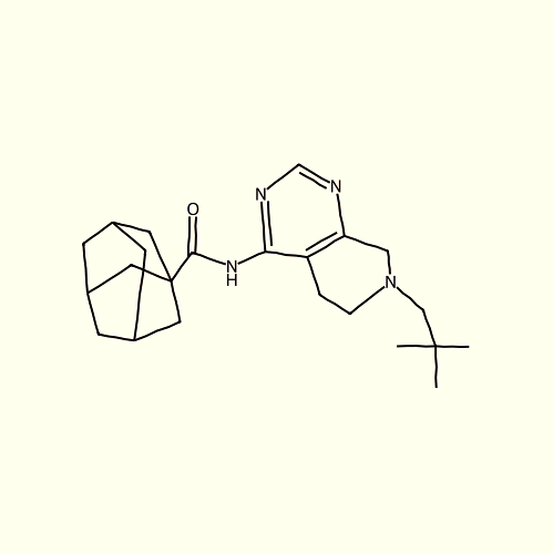 CC(C)(C)CN1CCc2c(ncnc2NC(=O)C23CC4CC(CC(C4)C2)C3)C1